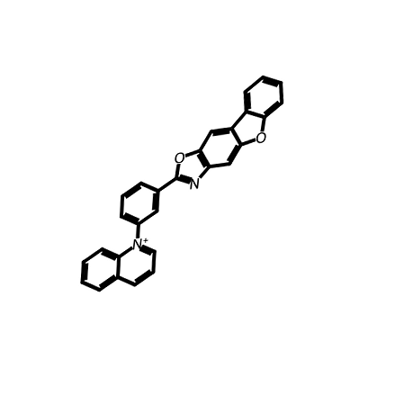 c1cc(-c2nc3cc4oc5ccccc5c4cc3o2)cc(-[n+]2cccc3ccccc32)c1